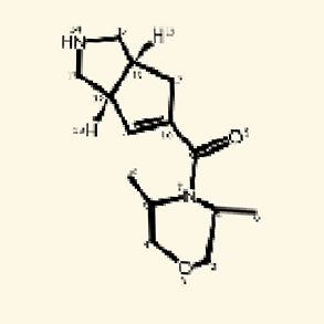 CC1COCC(C)N1C(=O)C1=C[C@@H]2CNC[C@@H]2C1